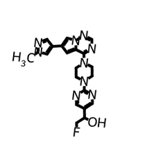 Cn1cc(-c2cc3c(N4CCN(c5ncc(C(O)CF)cn5)CC4)ncnn3c2)cn1